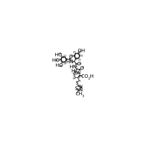 Cc1nnc(SCC2=C(C(=O)O)N3C(=O)C(NC(=O)C(NC(=O)c4cc(O)c(O)c(O)c4)c4ccc(O)cc4)[C@H]3SC2)s1